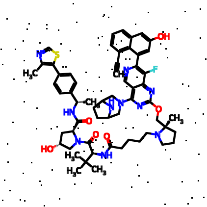 C#Cc1cccc2cc(O)cc(-c3ncc4c(N5CC6CCC(C5)N6)nc(OC[C@]5(C)CCCN5CCCCC(=O)N[C@H](C(=O)N5C[C@H](O)C[C@H]5C(=O)N[C@@H](C)c5ccc(-c6scnc6C)cc5)C(C)(C)C)nc4c3F)c12